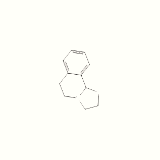 c1ccc2c(c1)CCN1CCSC21